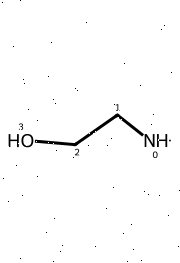 [NH]CCO